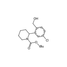 CC(C)(C)OC(=O)N1CCCCC1c1cc(Cl)ccc1CO